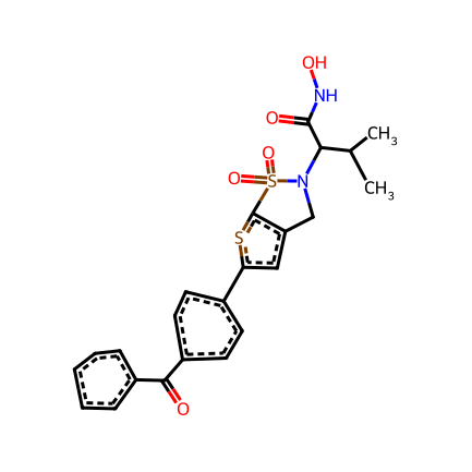 CC(C)C(C(=O)NO)N1Cc2cc(-c3ccc(C(=O)c4ccccc4)cc3)sc2S1(=O)=O